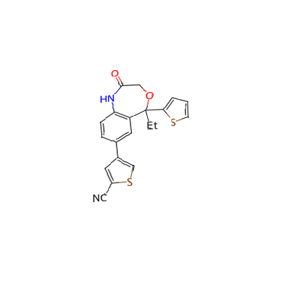 CCC1(c2cccs2)OCC(=O)Nc2ccc(-c3csc(C#N)c3)cc21